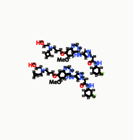 COc1cc2c(Nc3cnn(CC(=O)Nc4cccc(F)c4)c3)ncnc2cc1OCCCN(CCO)C1CCC1.COc1cc2c(Nc3cnn(CC(=O)Nc4cccc(F)c4)c3)ncnc2cc1OCCCN(CCO)CC1CC1